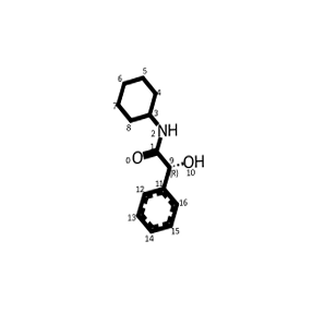 O=C(NC1CCCCC1)[C@H](O)c1ccccc1